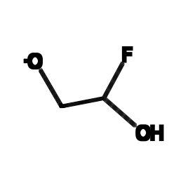 [O]CC(O)F